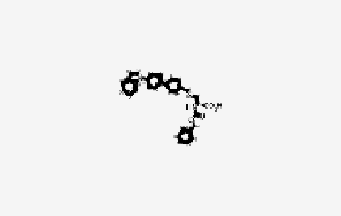 O=C(N[C@@H](CSCc1ccc(-c2ccc(-n3ccc4ccccc43)cc2)cc1)C(=O)O)OCc1ccccc1